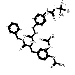 CC(=O)Oc1ccc(CC(NC(=O)NCc2ccc(NC(=O)OC(C)(C)C)cc2)C(=O)OCc2ccccc2)cc1OC(C)=O